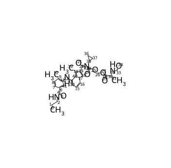 CCCNC(=O)c1ccc(C)c(NC2=CC=CC3C=C(C(=O)N(C(=O)OCOC(=O)C(C)NC=O)C4CC4)C(C)=C23)c1